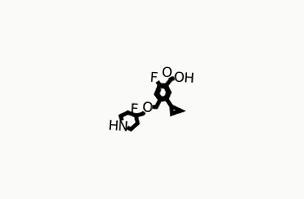 O=C(O)c1cc(C2CC2)c(COCC2(F)CCNCC2)cc1F